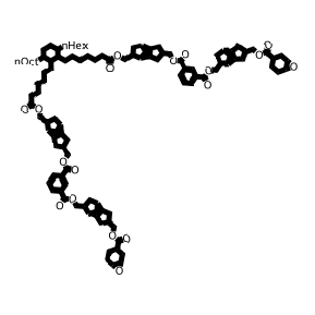 CCCCCCCCC1CCC(CCCCCC)C(CCCCCCC(=O)OCC2CC3CC2C2CC(COC(=O)c4cccc(C(=O)OCC5CC6CC5C5CC(COC(=O)C7CCC8OC8C7)CC65)c4)CC32)C1CCCCCCC(=O)OCC1CC2CC1C1CC(COC(=O)c3cccc(C(=O)OCC4CC5CC4C4CC(COC(=O)C6CCC7OC7C6)CC54)c3)CC21